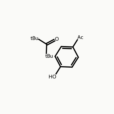 CC(=O)c1ccc(O)cc1.CC(C)(C)C(=O)C(C)(C)C